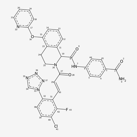 NC(=O)c1ccc(NC(=O)C2c3cccc(Oc4ccccn4)c3CCN2C(=O)/C=C/c2c(-n3cnnn3)ccc(Cl)c2F)cc1